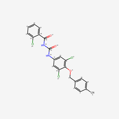 N#Cc1ccc(COc2c(Cl)cc(NC(=O)NC(=O)c3ccccc3Cl)cc2Cl)cc1